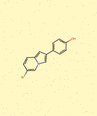 Oc1ccc(-c2cc3ccc(Br)cn3c2)cc1